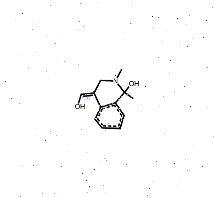 CN1C/C(=C/O)c2ccccc2C1(C)O